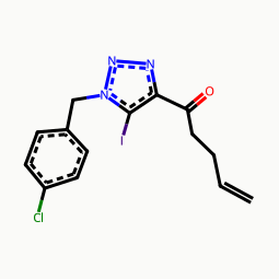 C=CCCC(=O)c1nnn(Cc2ccc(Cl)cc2)c1I